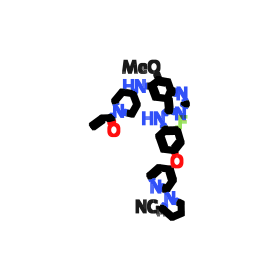 C=CC(=O)N1CCC(Nc2cc3c(Nc4ccc(Oc5ccnc(N6CCC[C@@H]6C#N)c5)cc4F)ncnc3cc2OC)CC1